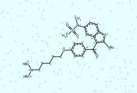 CCCCc1oc2ccc(N(C)S(C)(=O)=O)cc2c1C(=O)c1ccc(OCCCCCN(CCCC)CCCC)cc1